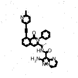 Cc1ccc(C#Cc2cccc3cc([C@H](C)NC(=O)c4c(N)nn5cccnc45)n(-c4ccccc4)c(=O)c23)cn1